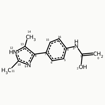 C=C(O)Nc1ccc(-c2nc(C)[nH]c2C)cc1